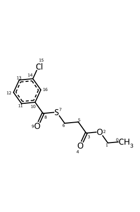 CCOC(=O)CCSC(=O)c1cccc(Cl)c1